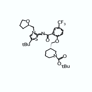 CC(C)(C)OC(=O)N1CCC[C@H](COc2ccc(C(F)(F)F)cc2C(=O)/N=c2\sc(C(C)(C)C)cn2C[C@H]2CCCO2)C1